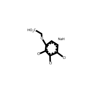 O=C(O)COc1ccc(Cl)c(Cl)c1Cl.[NaH]